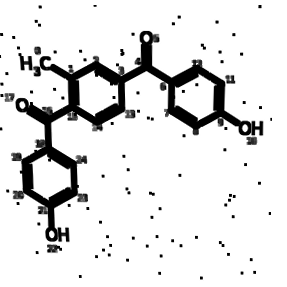 Cc1cc(C(=O)c2ccc(O)cc2)ccc1C(=O)c1ccc(O)cc1